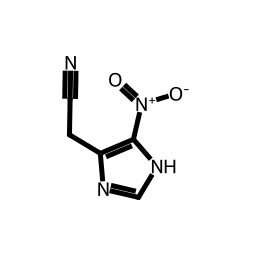 N#CCc1nc[nH]c1[N+](=O)[O-]